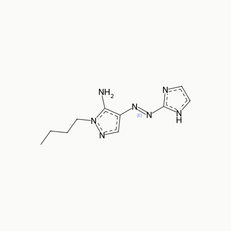 CCCCn1ncc(/N=N/c2ncc[nH]2)c1N